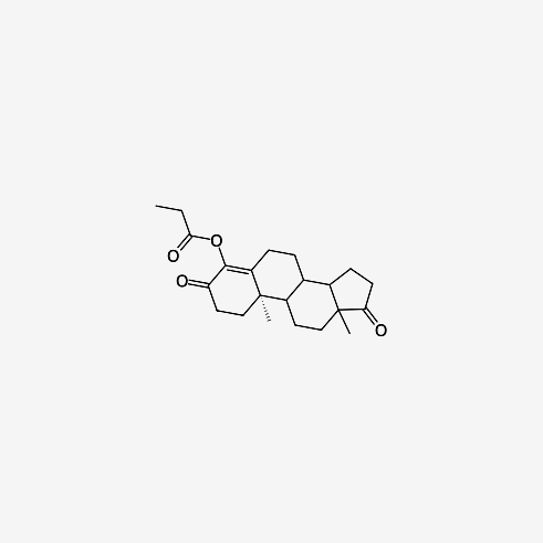 CCC(=O)OC1=C2CCC3C4CCC(=O)C4(C)CCC3[C@@]2(C)CCC1=O